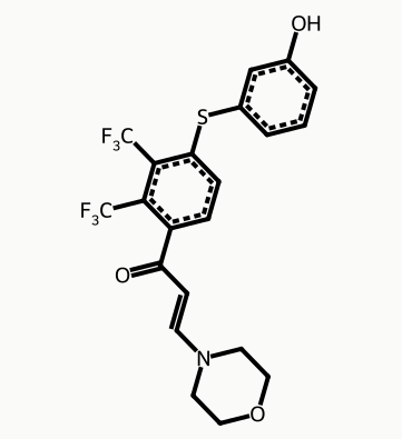 O=C(C=CN1CCOCC1)c1ccc(Sc2cccc(O)c2)c(C(F)(F)F)c1C(F)(F)F